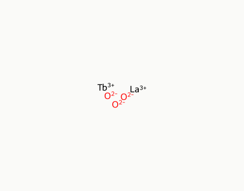 [La+3].[O-2].[O-2].[O-2].[Tb+3]